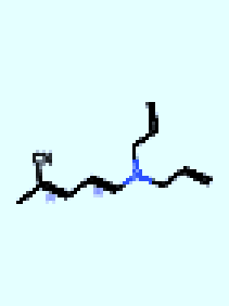 C=CCN(/C=C/C=C(/C)C#N)CC=C